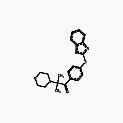 CC(C)(C(=O)c1ccc(Sc2nc3ccccc3s2)cc1)N1CCOCC1